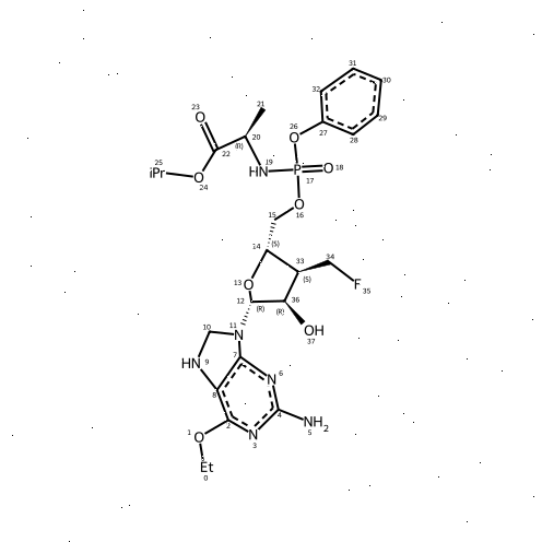 CCOc1nc(N)nc2c1NCN2[C@@H]1O[C@H](COP(=O)(N[C@H](C)C(=O)OC(C)C)Oc2ccccc2)[C@@H](CF)[C@H]1O